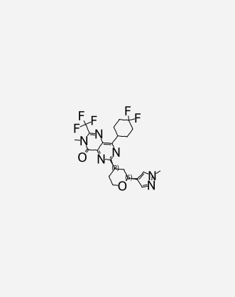 Cn1cc([C@@H]2C[C@H](c3nc(C4CCC(F)(F)CC4)c4nc(C(F)(F)F)n(C)c(=O)c4n3)CCO2)cn1